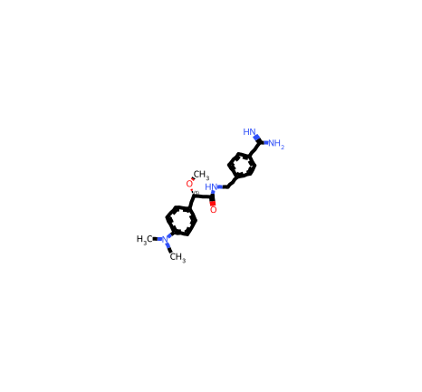 CO[C@H](C(=O)NCc1ccc(C(=N)N)cc1)c1ccc(N(C)C)cc1